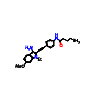 BCCCC(=O)Nc1ccc(C#Cc2c(N)c3ccc(OC)cc3n2CC)cc1